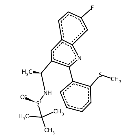 CSc1ccccc1-c1nc2cc(F)ccc2cc1[C@H](C)N[S@+]([O-])C(C)(C)C